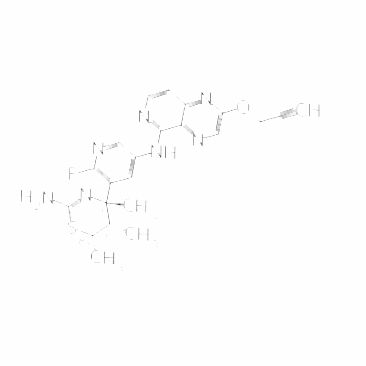 C#CCOc1cnc2c(Nc3cnc(F)c([C@@]4(C)N=C(N)S[C@@H](C)[C@H]4C)c3)nccc2n1